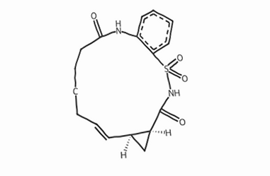 O=C1CCCC/C=C/[C@@H]2C[C@@H]2C(=O)NS(=O)(=O)c2ccccc2N1